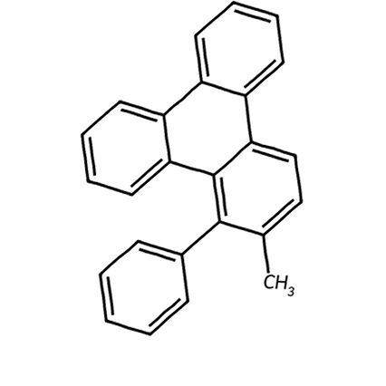 Cc1ccc2c3ccccc3c3ccccc3c2c1-c1ccccc1